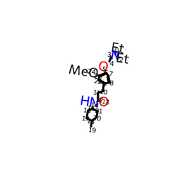 CCN(CC)CCOc1ccc(CCC(=O)NC2CCC(C)CC2)cc1OC